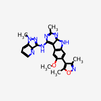 COc1cc2c(cc1-c1c(C)noc1C)[nH]c1nc(C)nc(Nc3nn(C)c4cccnc34)c12